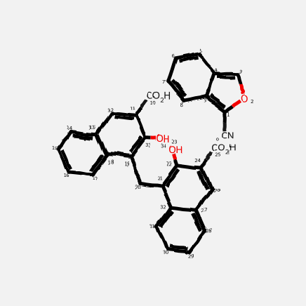 N#Cc1occ2ccccc12.O=C(O)c1cc2ccccc2c(Cc2c(O)c(C(=O)O)cc3ccccc23)c1O